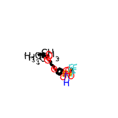 CCC(C)(C)C(=O)OCCCOc1ccc(S(=O)(=O)NS(=O)(=O)C(F)(F)F)cc1